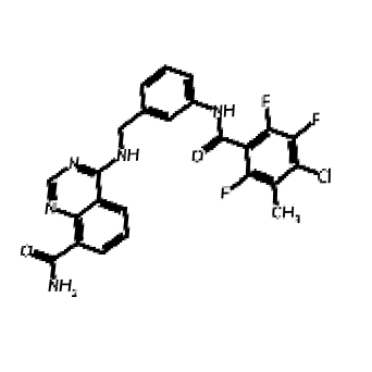 Cc1c(F)c(C(=O)Nc2cccc(CNc3ncnc4c(C(N)=O)cccc34)c2)c(F)c(F)c1Cl